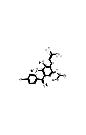 C=C(c1ccc(F)cc1)c1cc(OC(CC)CCC)c(CC=C(C)C)c(O)c1C(=O)O